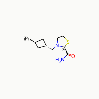 CC(C)[C@H]1C[C@H](CN2CCS[C@H]2C(N)=O)C1